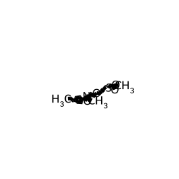 CCCc1ccc(-c2nc(CCOCC#CCSCC(=O)OC)c(C)o2)cc1